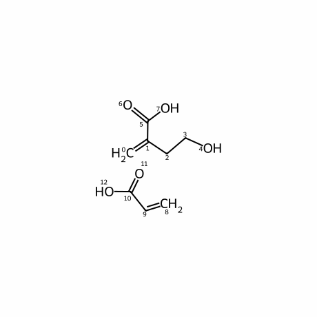 C=C(CCO)C(=O)O.C=CC(=O)O